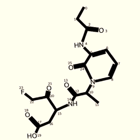 CCC(=O)Nc1cccn(C(C)C(=O)NC(CC(=O)O)C(=O)CF)c1=O